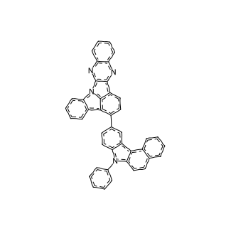 c1ccc(-n2c3ccc(-c4ccc5c6nc7ccccc7nc6n6c7ccccc7c4c56)cc3c3c4ccccc4ccc32)cc1